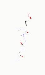 NC(=O)CNC(=O)CNC(=O)C(N)CCC=O